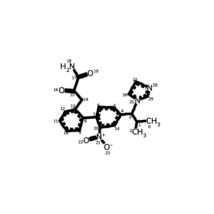 CC(C)C(c1ccc(-c2ccccc2CC(=O)C(N)=O)c([N+](=O)[O-])c1)n1ccnc1